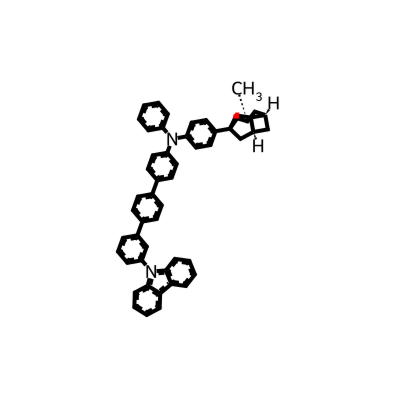 C[C@H]1C[C@H]2C[C@H]3CC(c4ccc(N(c5ccccc5)c5ccc(-c6ccc(-c7cccc(-n8c9ccccc9c9ccccc98)c7)cc6)cc5)cc4)(CC23)C1